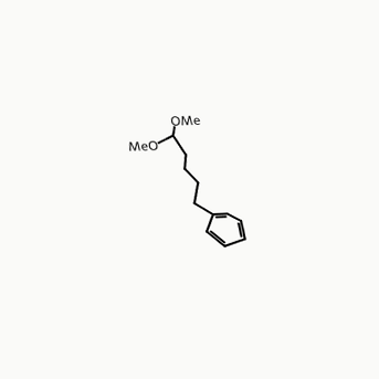 COC(CCCCc1ccccc1)OC